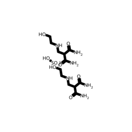 NC(=O)C(CNCCO)C(N)=O.NC(=O)C(CNCCO)C(N)=O.O=S(=O)(O)O